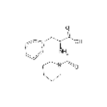 N[C@@H](Cc1ccccc1)C(=O)O.O=CN1CCCCC1